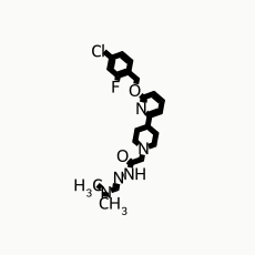 CN(C)C=NNC(=O)CN1CCC(c2cccc(OCc3ccc(Cl)cc3F)n2)CC1